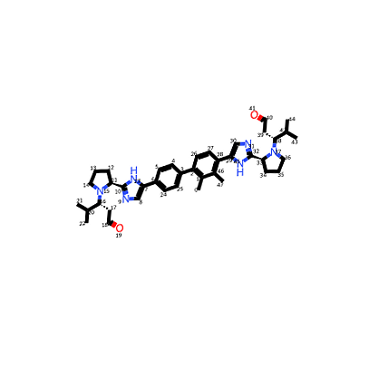 Cc1c(-c2ccc(-c3cnc([C@@H]4CCCN4[C@H](C[C]=O)C(C)C)[nH]3)cc2)ccc(-c2cnc([C@@H]3CCCN3[C@H](C[C]=O)C(C)C)[nH]2)c1C